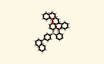 c1ccc(N(c2ccc(-c3cccc4ccccc34)cc2)c2ccc(-c3cccc4ccccc34)cc2)c(-c2cc3ccccc3c3ccccc23)c1